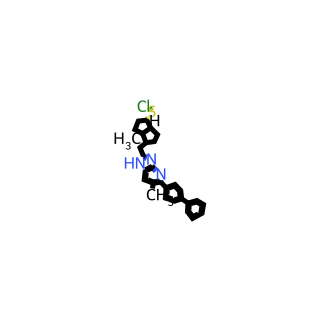 Cc1cc2[nH]c(CC3CC[C@@H]4C(SCl)CC[C@]34C)nc2nc1-c1ccc(-c2ccccc2)cc1